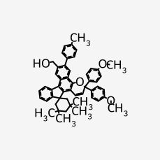 COc1ccc(C2(c3ccc(OC)cc3)C=Cc3c4c(c5cc(CO)c(-c6ccc(C)cc6)cc5c3O2)-c2ccccc2C42CC(C)(C)CC(C)(C)C2)cc1